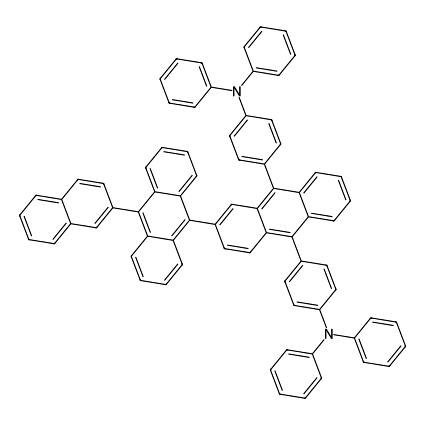 c1ccc(N(c2ccccc2)c2ccc(-c3c4ccccc4c(-c4ccc(N(c5ccccc5)c5ccccc5)cc4)c4cc(-c5c6ccccc6c(-c6ccc7ccccc7c6)c6ccccc56)ccc34)cc2)cc1